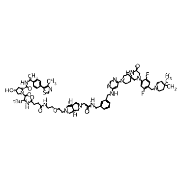 Cc1ncsc1-c1ccc([C@H](C)NC(=O)[C@@H]2C[C@@H](O)CN2C(=O)[C@@H](NC(=O)CCC(=O)NCCOCCN2C[C@@H]3CN(CC(=O)NCc4cccc(CNc5cc(N6CCC7(CC6)CN(c6cc(F)c(CN8CCC(C)(C)CC8)cc6F)CC(=O)N7)ncn5)c4)C[C@@H]3C2)C(C)(C)C)cc1